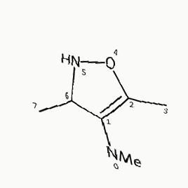 CNC1=C(C)ONC1C